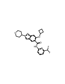 O=C(Nc1cccc(C(F)F)n1)c1cc2cn(C3CCOCC3)nc2cc1OC1CCC1